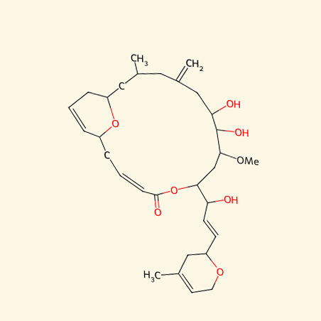 C=C1CC(C)CC2CC=CC(C/C=C\C(=O)OC(C(O)C=CC3CC(C)=CCO3)CC(OC)C(O)C(O)C1)O2